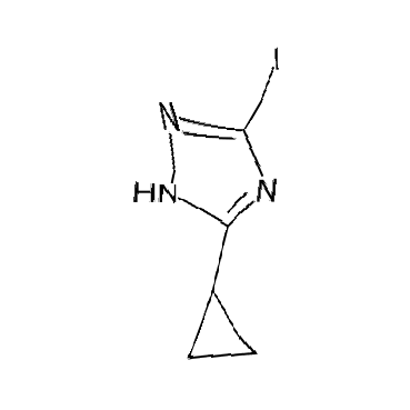 Ic1n[nH]c(C2CC2)n1